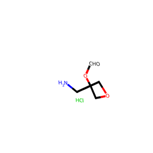 Cl.NCC1(OC=O)COC1